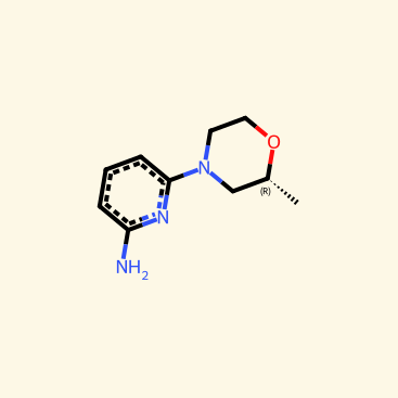 C[C@@H]1CN(c2cccc(N)n2)CCO1